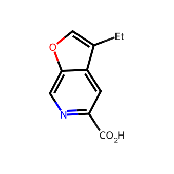 CCc1coc2cnc(C(=O)O)cc12